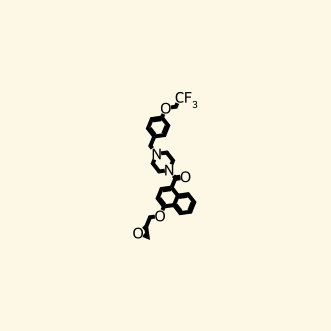 O=C(c1ccc(OCC2CO2)c2ccccc12)N1CCN(Cc2ccc(OCC(F)(F)F)cc2)CC1